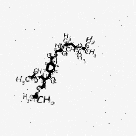 CC(C)SCC(CSC(C)C)C(=O)c1ccc(C(=O)NCC(=O)NC(C)(C)CCOC(C)(C)C)cc1